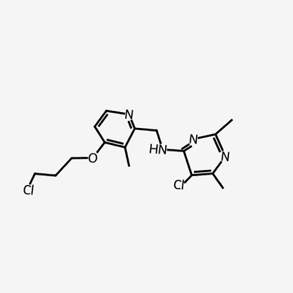 Cc1nc(C)c(Cl)c(NCc2nccc(OCCCCl)c2C)n1